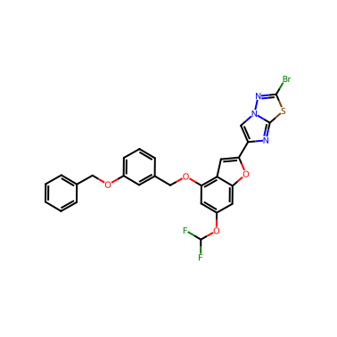 FC(F)Oc1cc(OCc2cccc(OCc3ccccc3)c2)c2cc(-c3cn4nc(Br)sc4n3)oc2c1